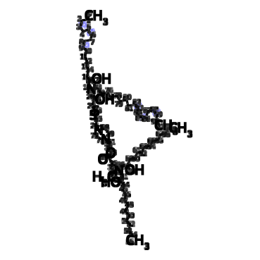 CC/C=C\C/C=C\C/C=C\CCCCCC[C@H](O)CN(CCCSSCCN1CCN(CCOC(=O)CCC(C)N(CC(O)CCCCCCCCCCCC)CC(O)CCCCCCCCCCCC)CC1)C[C@@H](O)CCCCCC/C=C\C/C=C\C/C=C\CC